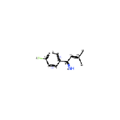 C=C(F)/C=C\C(=C/C)C(=N)C=C(C)C